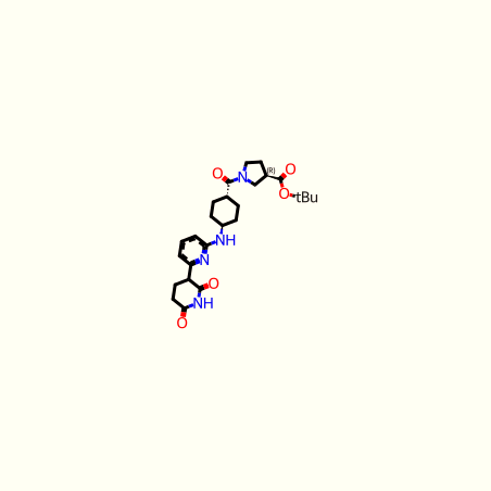 CC(C)(C)OC(=O)[C@@H]1CCN(C(=O)[C@H]2CC[C@H](Nc3cccc(C4CCC(=O)NC4=O)n3)CC2)C1